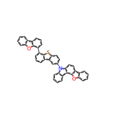 c1ccc2c(c1)oc1c(-c3cccc4c3sc3ccc(-n5c6ccccc6c6c7oc8ccccc8c7ccc65)cc34)cccc12